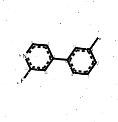 Cc1cccc(-c2ccnc(F)c2)c1